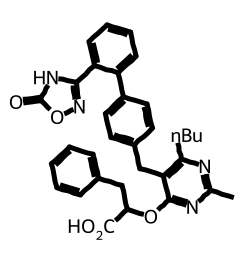 CCCCc1nc(C)nc(OC(Cc2ccccc2)C(=O)O)c1Cc1ccc(-c2ccccc2-c2noc(=O)[nH]2)cc1